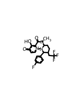 CN1C(=O)c2c(O)c(=O)ccn2N2C(c3ccc(F)cc3)C(CC(F)(F)F)CCC12